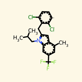 Cc1cc(C(F)(F)F)cc2c1cc(Cc1c(Cl)[c]ccc1Cl)n2CC(C)C